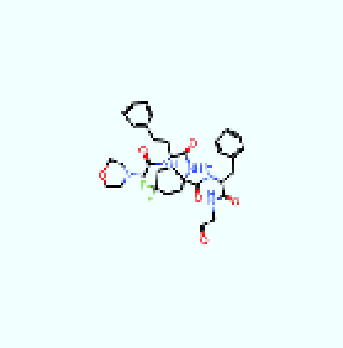 O=CCNC(=O)C(Cc1ccccc1)NC(=O)C1(NC(=O)[C@H](CCc2ccccc2)NC(=O)CN2CCOCC2)CCC(F)(F)CC1